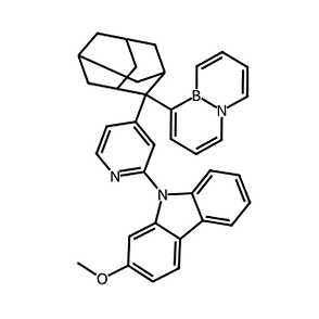 COc1ccc2c3ccccc3n(-c3cc(C4(C5=CC=CN6C=CC=CB56)C5CC6CC(C5)CC4C6)ccn3)c2c1